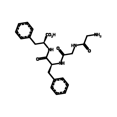 NCC(=O)NCC(=O)N[C@@H](Cc1ccccc1)C(=O)N[C@@H](Cc1ccccc1)C(=O)O